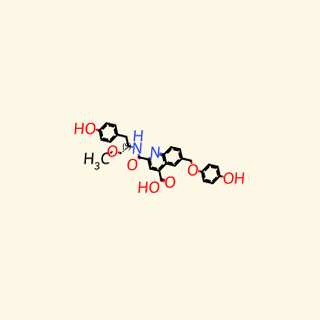 COC[C@H](Cc1ccc(O)cc1)NC(=O)c1cc(C(=O)O)c2cc(COc3ccc(O)cc3)ccc2n1